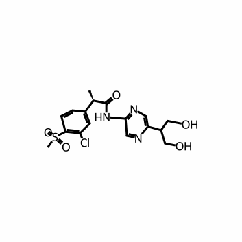 C[C@@H](C(=O)Nc1cnc(C(CO)CO)cn1)c1ccc(S(C)(=O)=O)c(Cl)c1